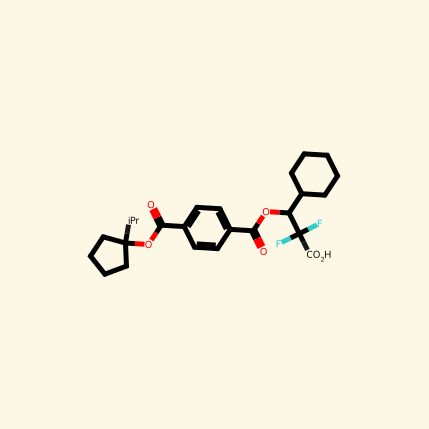 CC(C)C1(OC(=O)c2ccc(C(=O)OC(C3CCCCC3)C(F)(F)C(=O)O)cc2)CCCC1